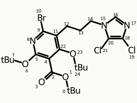 CC(C)(C)OC(=O)c1c(OC(C)(C)C)nc(Br)c(CCCn2cnc(Cl)c2Cl)c1OC(C)(C)C